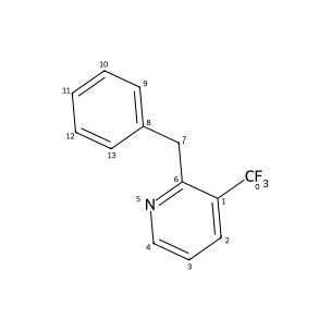 FC(F)(F)c1cccnc1[CH]c1ccccc1